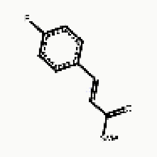 CSC(=O)/C=C/c1ccc(F)cc1